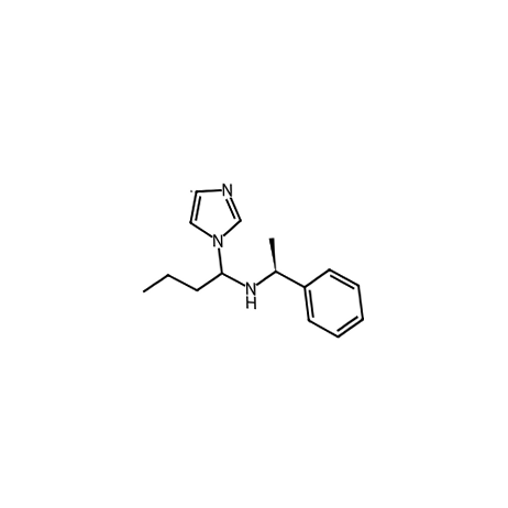 CCCC(N[C@@H](C)c1ccccc1)n1c[c]nc1